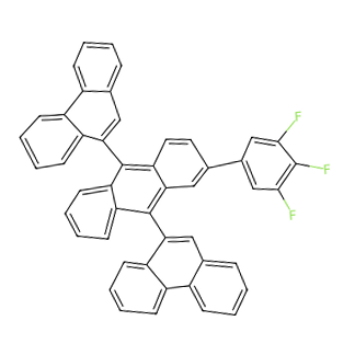 Fc1cc(-c2ccc3c(-c4cc5ccccc5c5ccccc45)c4ccccc4c(-c4cc5ccccc5c5ccccc45)c3c2)cc(F)c1F